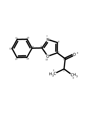 CC(C)C(=O)c1cnc(-c2ccccc2)o1